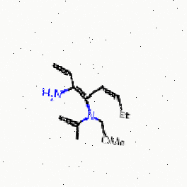 C=C/C(N)=C(\C=C/CC)N(COC)C(=C)C